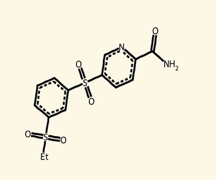 CCS(=O)(=O)c1cccc(S(=O)(=O)c2ccc(C(N)=O)nc2)c1